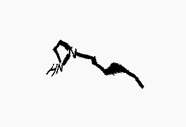 CCCCN1CN1